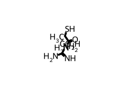 CC(=O)O.N=C(N)N.NC(=O)CS